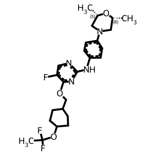 C[C@@H]1CN(c2ccc(Nc3ncc(F)c(OCC4CCC(OC(C)(F)F)CC4)n3)cc2)C[C@H](C)O1